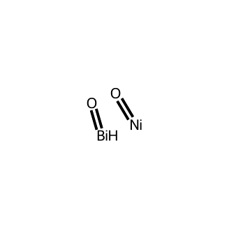 [O]=[BiH].[O]=[Ni]